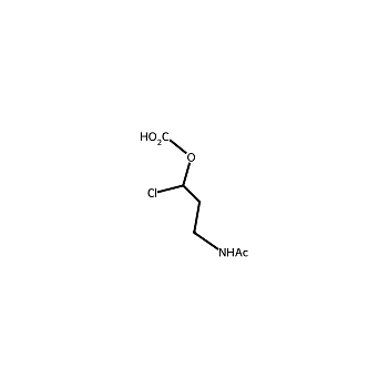 CC(=O)NCCC(Cl)OC(=O)O